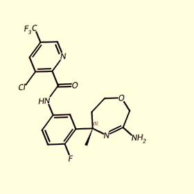 C[C@@]1(c2cc(NC(=O)c3ncc(C(F)(F)F)cc3Cl)ccc2F)CCOCC(N)=N1